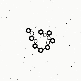 c1ccc(Oc2cccc(Oc3cccc(-c4cccc(-c5cccc(Oc6ccccc6Oc6ccccc6Oc6ccccc6)c5)c4)c3)c2)cc1